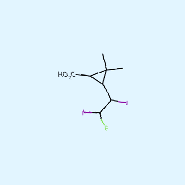 CC1(C)C(C(=O)O)C1C(I)C(F)I